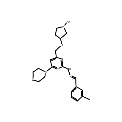 CC(=O)N1CCC(OCc2cc(N3CCOCC3)nc(N/N=C/c3cccc(C)c3)n2)C1